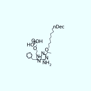 CCCCCCCCCCCCCCCCCCOC(C)c1nc(N)c2nc(Cc3ccccc3)n(CCOCP(=O)(O)O)c2n1